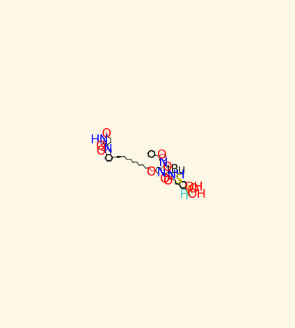 CC(C)(C)C(NC(=O)c1cc2cc(C(F)(F)P(=O)(O)O)ccc2s1)C(=O)N1C[C@@H](OCCCCCCCCCC#Cc2cccc3c2CN(C2CCC(=O)NC2=O)C3=O)C[C@H]1C(=O)N1CCO[C@H](c2ccccc2)C1